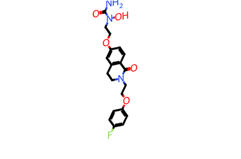 NC(=O)N(O)CCOc1ccc2c(c1)CCN(CCOc1ccc(F)cc1)C2=O